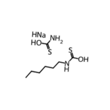 CCCCCCNC(O)=S.NC(O)=S.[NaH]